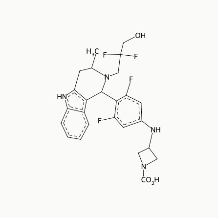 CC1Cc2[nH]c3ccccc3c2C(c2c(F)cc(NC3CN(C(=O)O)C3)cc2F)N1CC(F)(F)CO